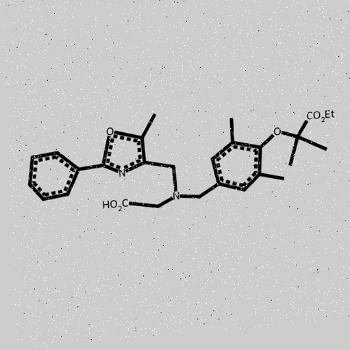 CCOC(=O)C(C)(C)Oc1c(C)cc(CN(CC(=O)O)Cc2nc(-c3ccccc3)oc2C)cc1C